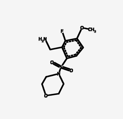 COc1ccc(S(=O)(=O)N2CCOCC2)c(CN)c1F